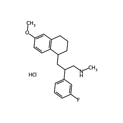 CNCC(CC1CCCc2cc(OC)ccc21)c1cccc(F)c1.Cl